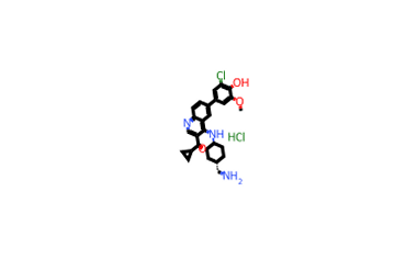 COc1cc(-c2ccc3ncc(C(=O)C4CC4)c(N[C@H]4CC[C@H](CN)CC4)c3c2)cc(Cl)c1O.Cl